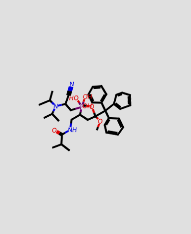 COC(CC(CNC(=O)C(C)C)P(O)(O)(O)CC(C#N)N(C(C)C)C(C)C)(OC)C(c1ccccc1)(c1ccccc1)c1ccccc1